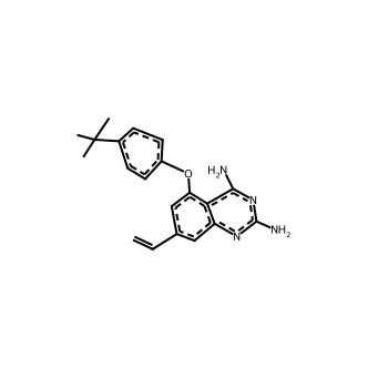 C=Cc1cc(Oc2ccc(C(C)(C)C)cc2)c2c(N)nc(N)nc2c1